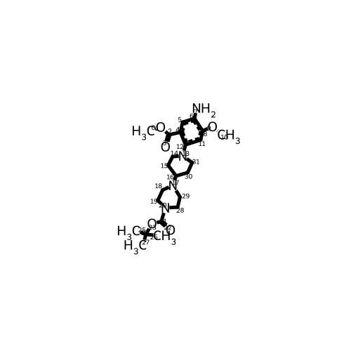 COC(=O)c1cc(N)c(OC)cc1N1CCC(N2CCN(C(=O)OC(C)(C)C)CC2)CC1